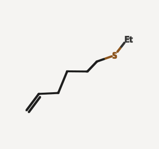 C=CCCCCSCC